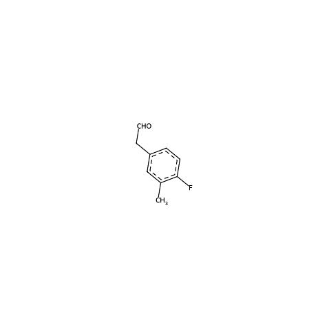 Cc1cc(CC=O)ccc1F